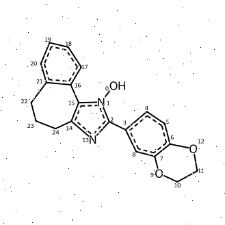 On1c(-c2ccc3c(c2)OCCO3)nc2c1-c1ccccc1CCC2